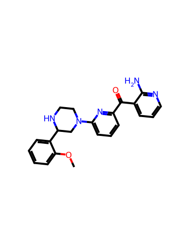 COc1ccccc1C1CN(c2cccc(C(=O)c3cccnc3N)n2)CCN1